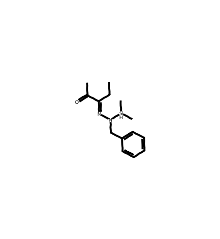 CCC(=NN(Cc1ccccc1)[SiH](C)C)C(C)=O